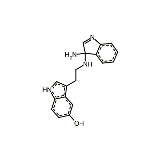 NC1(NCCc2c[nH]c3ccc(O)cc23)C=Nc2ccccc21